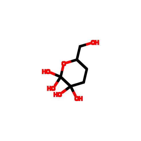 OCC1CCC(O)(O)C(O)(O)O1